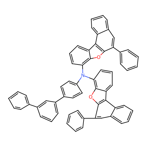 c1ccc(-c2cccc(-c3ccc(N(c4cccc5c4oc4c(-c6ccccc6)cc6ccccc6c45)c4cccc5c4oc4c(-c6ccccc6)cc6ccccc6c45)cc3)c2)cc1